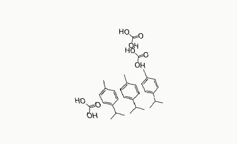 Cc1ccc(C(C)C)cc1.Cc1ccc(C(C)C)cc1.Cc1ccc(C(C)C)cc1.O=C(O)O.O=C(O)O.O=C(O)O